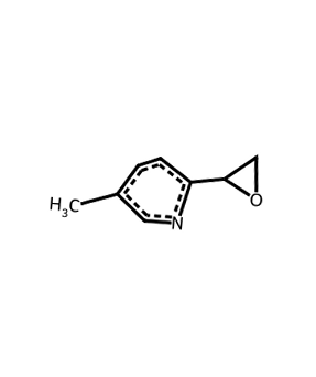 Cc1ccc(C2CO2)nc1